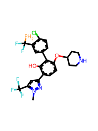 Cn1nc(-c2ccc(OC3CCNCC3)c(-c3ccc(Cl)c(C(F)(F)P)c3)c2O)cc1C(F)(F)F